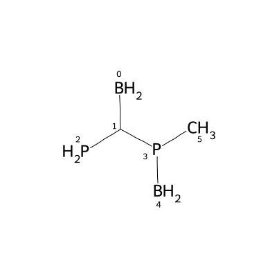 BC(P)P(B)C